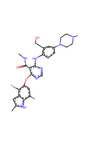 CNC(=O)c1c(Nc2ccc(N3CCN(C)CC3)cc2CO)ncnc1Oc1cc(F)c2[nH]c(C)cc2c1F